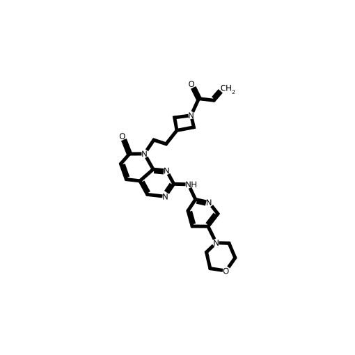 C=CC(=O)N1CC(CCn2c(=O)ccc3cnc(Nc4ccc(N5CCOCC5)cn4)nc32)C1